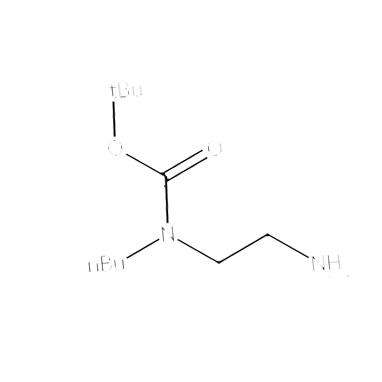 CCCCN(CCN)C(=O)OC(C)(C)C